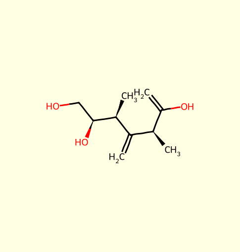 C=C(O)[C@@H](C)C(=C)[C@H](C)[C@@H](O)CO